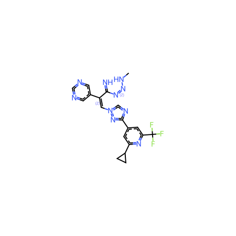 CN/N=N\C(=N)/C(=C\n1cnc(-c2cc(C3CC3)nc(C(F)(F)F)c2)n1)c1cncnc1